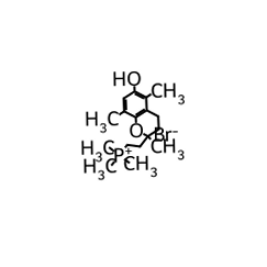 Cc1cc(O)c(C)c2c1OC(C)(CC[P+](C)(C)C)CC2.[Br-]